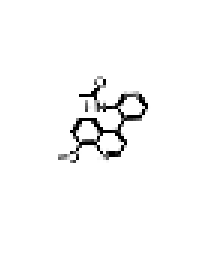 COc1cccc2c(-c3ccccc3NC(C)=O)ccnc12